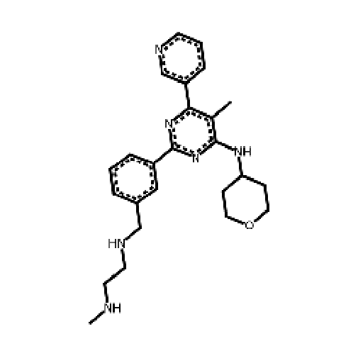 CNCCNCc1cccc(-c2nc(NC3CCOCC3)c(C)c(-c3cccnc3)n2)c1